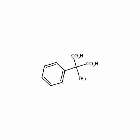 CC(C)(C)C(C(=O)O)(C(=O)O)c1ccccc1